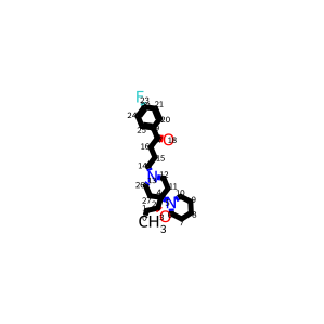 CCC(=O)C1(N2CCCCC2)CCN(CCCC(=O)c2ccc(F)cc2)CC1